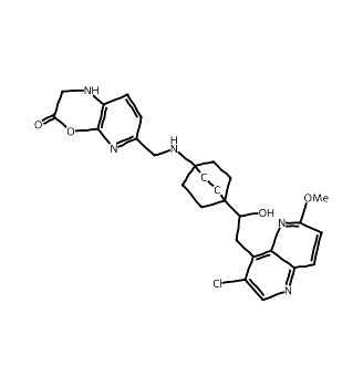 COc1ccc2ncc(Cl)c(CC(O)C34CCC(NCc5ccc6c(n5)OC(=O)CN6)(CC3)CC4)c2n1